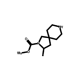 CC1CC2(CCNCC2)CN1C(=O)OC(C)(C)C